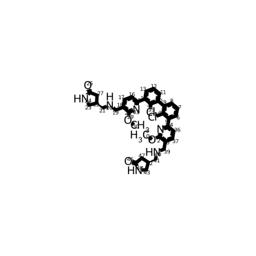 COc1nc(-c2cccc(-c3cccc(-c4ccc(CNC[C@H]5CNC(=O)C5)c(OC)n4)c3Cl)c2Cl)ccc1CNC[C@H]1CNC(=O)C1